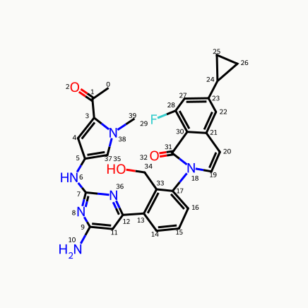 CC(=O)c1cc(Nc2nc(N)cc(-c3cccc(-n4ccc5cc(C6CC6)cc(F)c5c4=O)c3CO)n2)cn1C